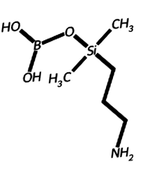 C[Si](C)(CCCN)OB(O)O